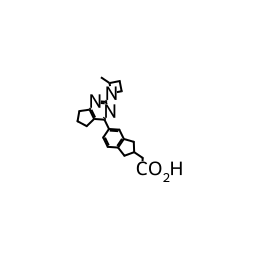 CC1CCN1c1nc2c(c(-c3ccc4c(c3)CC(CC(=O)O)C4)n1)CCC2